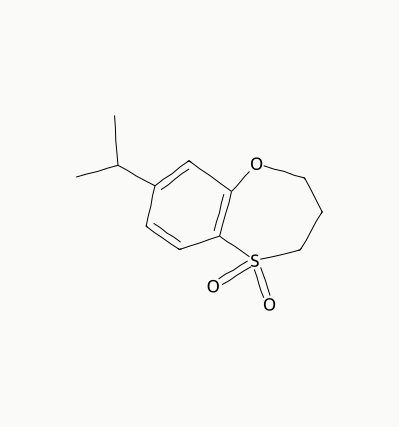 CC(C)c1ccc2c(c1)OCCCS2(=O)=O